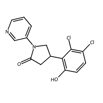 O=C1CC(c2c(O)ccc(Cl)c2Cl)CN1c1cccnc1